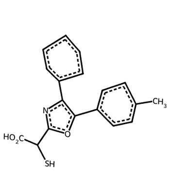 Cc1ccc(-c2oc(C(S)C(=O)O)nc2-c2ccccc2)cc1